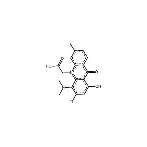 Cc1ccc2c(=O)c3c(O)cc(Cl)c(N(C)C)c3n(CC(=O)O)c2c1